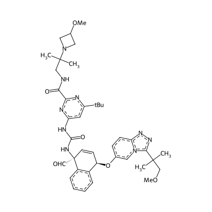 COCC(C)(C)c1nnc2ccc(O[C@@H]3C=C[C@](C=O)(NC(=O)Nc4cc(C(C)(C)C)nc(C(=O)NCC(C)(C)N5CC(OC)C5)n4)c4ccccc43)cn12